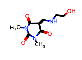 CN1C(=O)C(=CNCCO)C(=O)N(C)C1=O